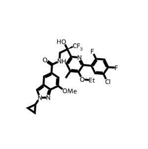 CCOc1c(C)cc([C@@](O)(CNC(=O)c2cc(OC)c3nn(C4CC4)cc3c2)C(F)(F)F)nc1-c1cc(Cl)c(F)cc1F